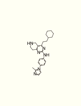 Cc1nccn1-c1ccc(Nc2nc3c(c(CCC4CCCCC4)n2)CNCC3)cc1